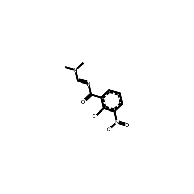 CN(C)/C=N/C(=O)c1cccc([N+](=O)[O-])c1Cl